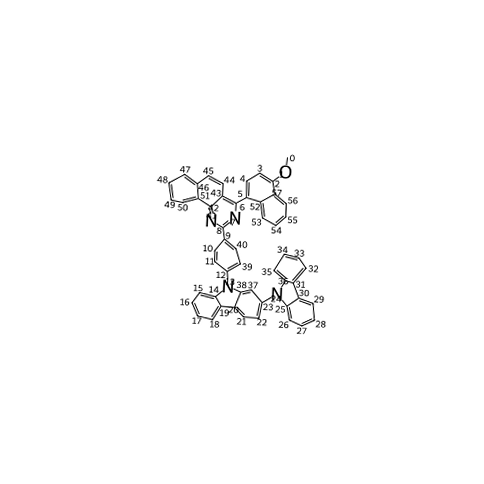 COc1ccc(-c2nc(-c3ccc(-n4c5ccccc5c5ccc(-n6c7ccccc7c7ccccc76)cc54)cc3)nc3c2ccc2ccccc23)c2ccccc12